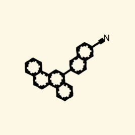 N#Cc1ccc2cc(-c3cc4c5ccccc5ccc4c4ccccc34)ccc2c1